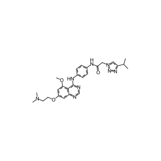 COc1cc(OCCN(C)C)cc2ncnc(Nc3ccc(NC(=O)Cn4cc(C(C)C)nn4)cc3)c12